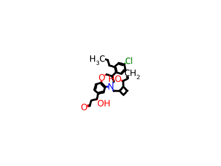 C=CC(O)C1CCC1CN1CC(c2ccc(Cl)cc2CCC)COc2ccc(C(O)CC=O)cc21